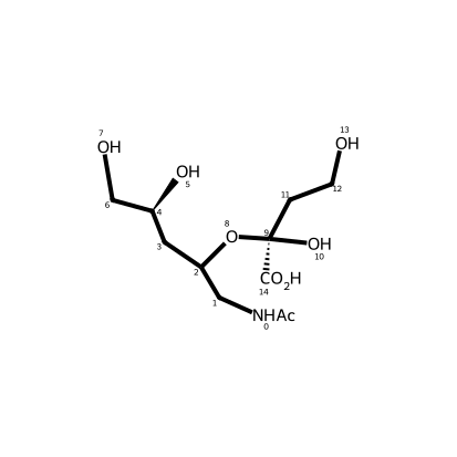 CC(=O)NCC(C[C@H](O)CO)O[C@](O)(CCO)C(=O)O